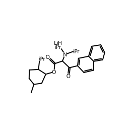 CC1CCC(C(C)C)C(OC(=O)C(C(=O)c2ccc3ccccc3c2)N(C(C)C)C(C)C)C1.[LiH]